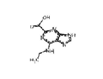 CCNc1nc(C(=O)O)nc2[nH]cnc12